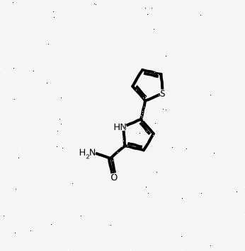 NC(=O)c1ccc(-c2cccs2)[nH]1